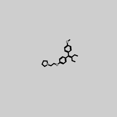 CCC(CC)=C(c1ccc(OC)cc1)c1ccc(OCCN2CCCC2)cc1